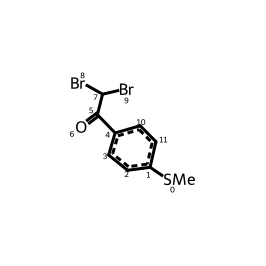 CSc1ccc(C(=O)C(Br)Br)cc1